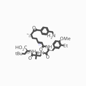 CCc1cc(C[C@@H](NC(=O)/C=C/CC[C@H](C)C2OC2c2ccc(CN)cc2)C(=O)NCC(C)(C)C(=O)N[C@@H](CC(C)(C)C)C(=O)O)ccc1OC